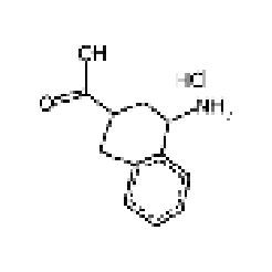 Cl.NC1CC(C(=O)O)Cc2ccccc21